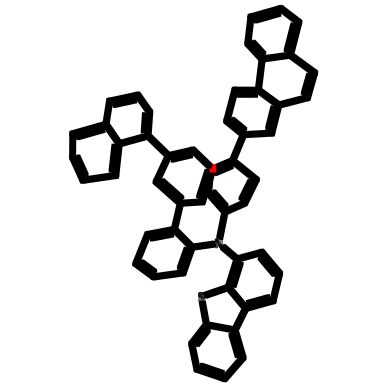 c1cc(-c2ccccc2N(c2ccc(-c3ccc4c(ccc5ccccc54)c3)cc2)c2cccc3c2sc2ccccc23)cc(-c2cccc3ccccc23)c1